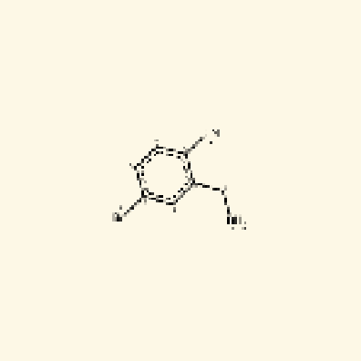 BCc1cc(Br)ccc1C#N